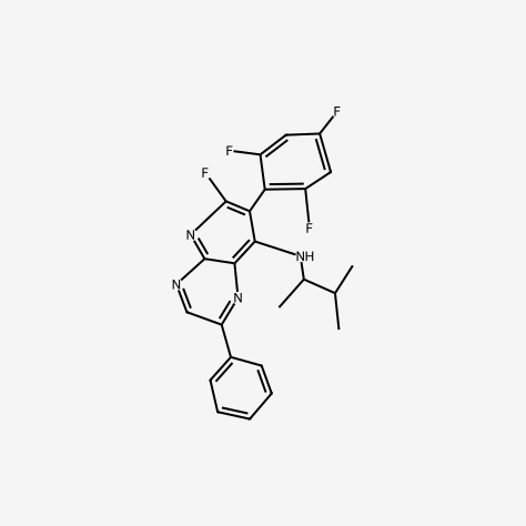 CC(C)C(C)Nc1c(-c2c(F)cc(F)cc2F)c(F)nc2ncc(-c3ccccc3)nc12